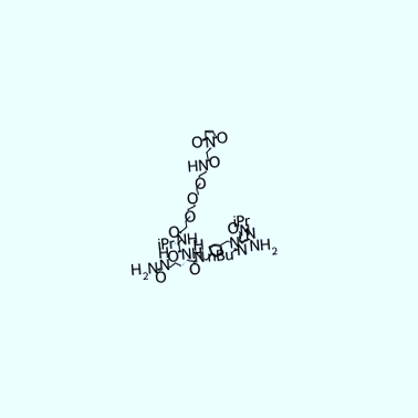 CCCCc1nc2c(N)nnc(OC(C)C)c2n1Cc1ccc(CNC(=O)[C@H](CCCNC(N)=O)NC(=O)[C@@H](NC(=O)CCOCCOCCOCCNC(=O)CCN2C(=O)C=CC2=O)C(C)C)cc1